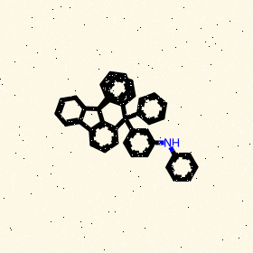 C1=CCC2C(=C1)c1cccc3c1C2(c1ccccc1)c1ccccc1C3(c1ccccc1)c1cccc(Nc2ccccc2)c1